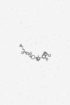 COc1cc(-c2cnn(C3CCN(CC4(OC)CN(C(=O)/C=C/CN(C)C)C4)CC3)c2C)cn2ncc(Cl)c12